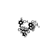 Cc1cc(CNC(=O)c2cc(C(=O)NC3CS(=O)(=O)c4c3ccc(C)c4C)n3nccc3n2)ccc1F